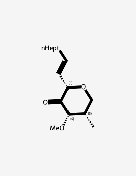 CCCCCCCC=C[C@@H]1OC[C@H](C)[C@H](OC)C1=O